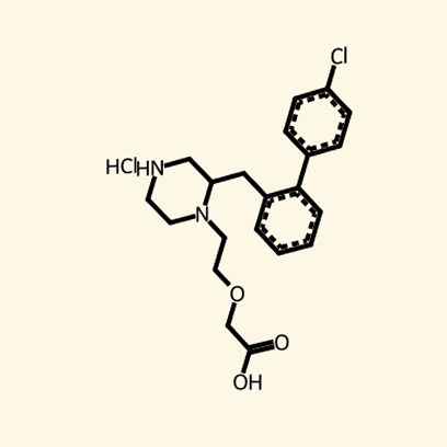 Cl.O=C(O)COCCN1CCNCC1Cc1ccccc1-c1ccc(Cl)cc1